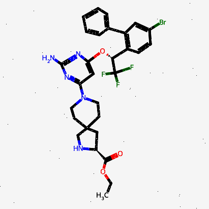 CCOC(=O)[C@@H]1CC2(CCN(c3cc(O[C@H](c4ccc(Br)cc4-c4ccccc4)C(F)(F)F)nc(N)n3)CC2)CN1